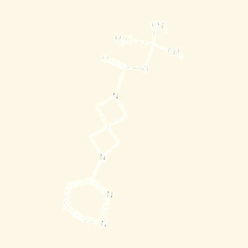 CC(C)(C)OC(=O)N1CC2(C1)CN(c1cccnn1)C2